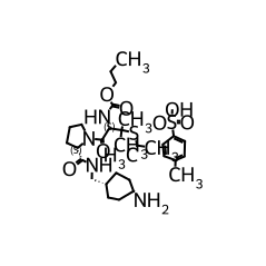 CCCOC(=O)N[C@@H](C(=O)N1CCC[C@H]1C(=O)NC[C@H]1CC[C@H](N)CC1)C(C)(C)SC(C)C.Cc1ccc(S(=O)(=O)O)cc1